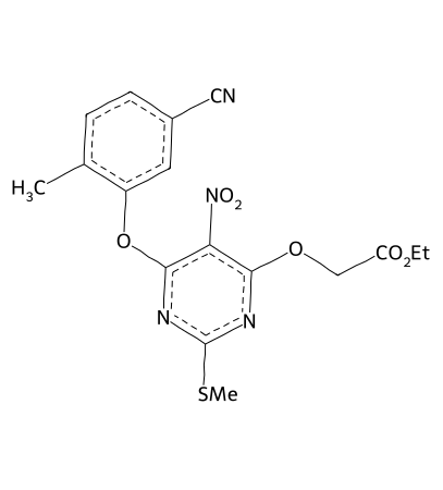 CCOC(=O)COc1nc(SC)nc(Oc2cc(C#N)ccc2C)c1[N+](=O)[O-]